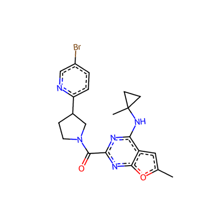 Cc1cc2c(NC3(C)CC3)nc(C(=O)N3CCC(c4ccc(Br)cn4)C3)nc2o1